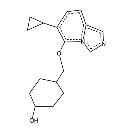 OC1CCC(COc2c(C3CC3)ccc3cncn23)CC1